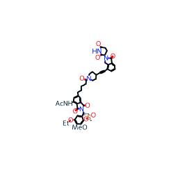 CCOc1cc([C@@H](CS(C)(=O)=O)N2C(=O)c3cc(CCCCC(=O)N4CCC(C#Cc5cccc6c5CN(C5CCC(=O)NC5=O)C6=O)CC4)cc(NC(C)=O)c3C2=O)ccc1OC